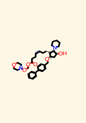 O=C(CC/C=C\CC[C@@H]1[C@@H](N2CCCCC2)[C@@H](O)C[C@@H]1OCc1ccc(-c2ccccc2)cc1)OCON1CCOCC1